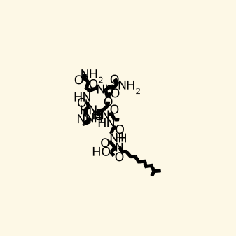 CC(C)CCCCCCCC(=O)NC(C(=O)NCC(=O)NC(C)C(=O)NC1COC(=O)C(CCC(N)=O)NC(=O)C(CCC(N)=O)NC(=O)C(Cc2ncc[nH]2)NC1=O)C(C)O